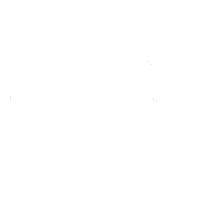 CC(C)=CCCC(C)CCOc1ccnc(-c2ccccc2)n1